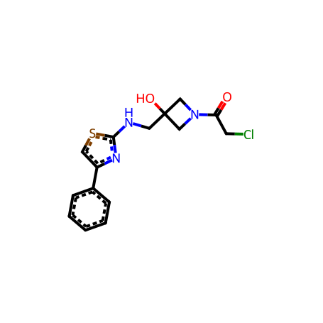 O=C(CCl)N1CC(O)(CNc2nc(-c3ccccc3)cs2)C1